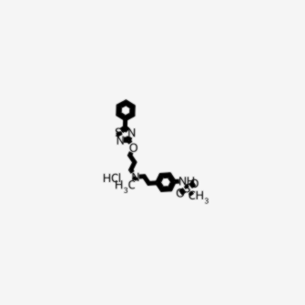 CN(CCCOc1nsc(-c2ccccc2)n1)CCc1ccc(NS(C)(=O)=O)cc1.Cl